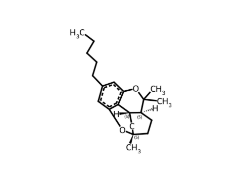 CCCCCc1cc2c3c(c1)O[C@@]1(C)CC[C@@H]([C@@H]3C1)C(C)(C)O2